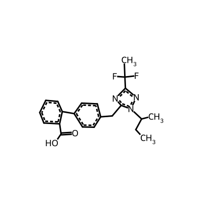 CCC(C)n1nc(C(C)(F)F)nc1Cc1ccc(-c2ccccc2C(=O)O)cc1